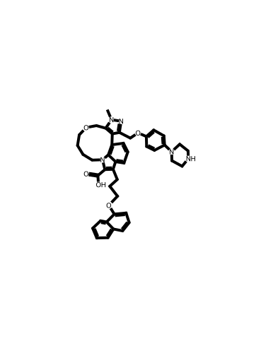 Cn1nc(COc2ccc(N3CCNCC3)cc2)c2c1COCCCCn1c(C(=O)O)c(CCCOc3cccc4ccccc34)c3cccc-2c31